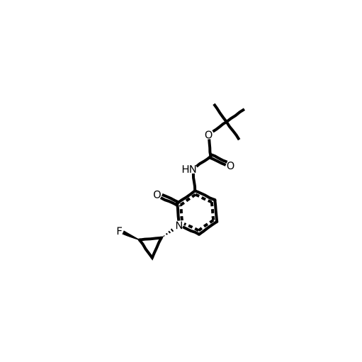 CC(C)(C)OC(=O)Nc1cccn([C@@H]2C[C@H]2F)c1=O